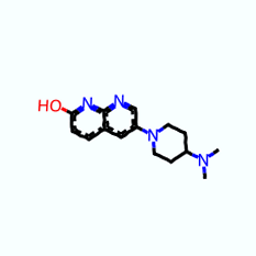 CN(C)C1CCN(c2cnc3nc(O)ccc3c2)CC1